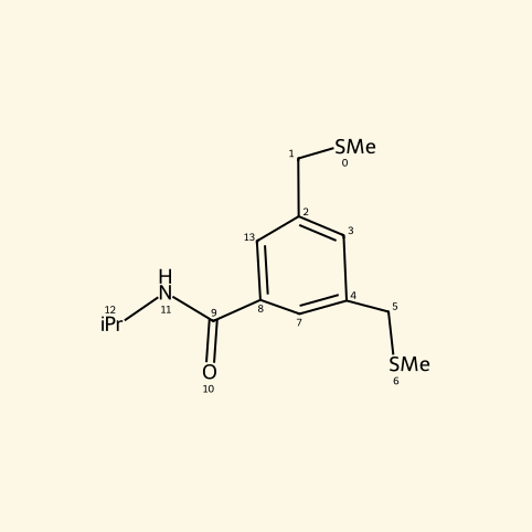 CSCc1cc(CSC)cc(C(=O)NC(C)C)c1